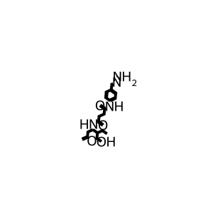 C=CCC(NC(=O)CCC(=O)Nc1ccc(C=NN)cc1)C(CC)C(=O)O